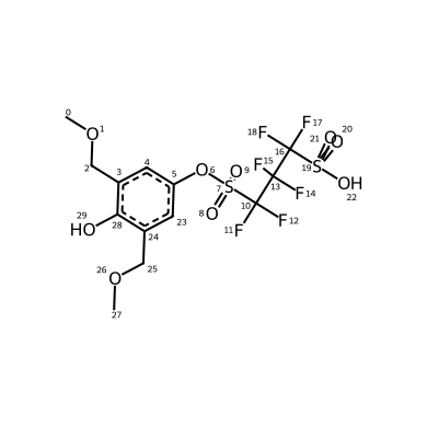 COCc1cc(OS(=O)(=O)C(F)(F)C(F)(F)C(F)(F)S(=O)(=O)O)cc(COC)c1O